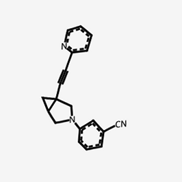 N#Cc1cccc(N2CC3CC3(C#Cc3ccccn3)C2)c1